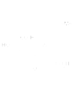 CSCC(OC(=O)C(C)(O)C(=O)O)C(=O)O